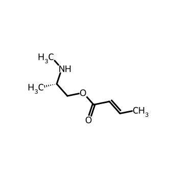 C/C=C/C(=O)OC[C@H](C)NC